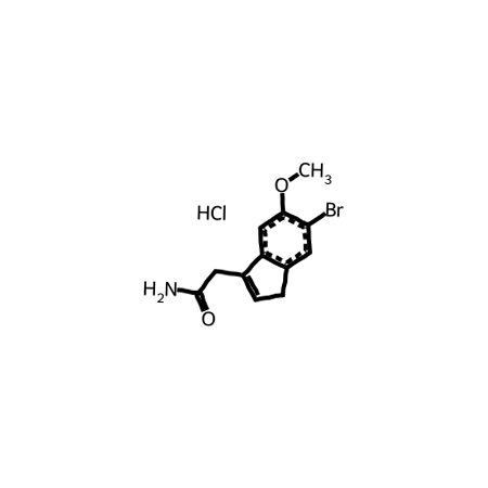 COc1cc2c(cc1Br)CC=C2CC(N)=O.Cl